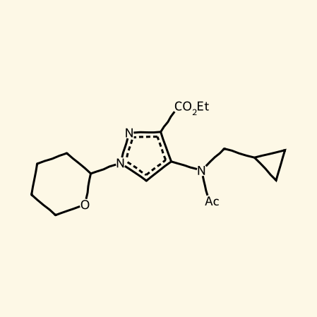 CCOC(=O)c1nn(C2CCCCO2)cc1N(CC1CC1)C(C)=O